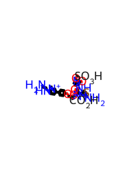 C[n+]1cc(-c2ccc(OCC(O/N=C(\C(=O)N[C@@H]3C(=O)N(OS(=O)(=O)O)C3(C)C)c3csc(N)n3)C(=O)O)cc2)ccc1NCCN